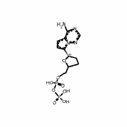 Nc1ncnn2c([C@H]3CCC(COP(=O)(O)OP(=O)(O)O)O3)ccc12